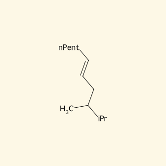 CCCCCC=CCC(C)C(C)C